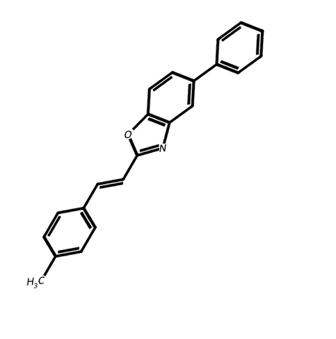 Cc1ccc(C=Cc2nc3cc(-c4ccccc4)ccc3o2)cc1